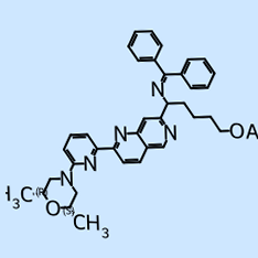 CC(=O)OCCCCC(N=C(c1ccccc1)c1ccccc1)c1cc2nc(-c3cccc(N4C[C@@H](C)O[C@@H](C)C4)n3)ccc2cn1